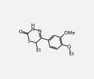 CCOc1ccc(C2=NNC(=O)SC2CC)cc1OC